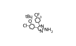 CC(C)(C)COc1cc(-c2cnc(N)nc2-c2ccc(C(F)(F)F)cc2)ccc1Cl